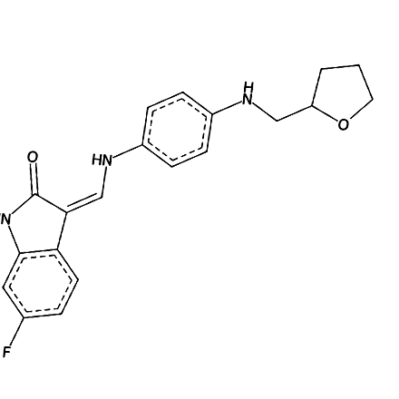 O=C1Nc2cc(F)ccc2C1=CNc1ccc(NCC2CCCO2)cc1